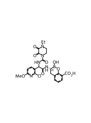 CCN1CCN(C(=O)NC(C(=O)N[C@H]2Cc3cccc(C(=O)O)c3OB2O)c2ccc(OC)nc2Cl)C(=O)C1=O